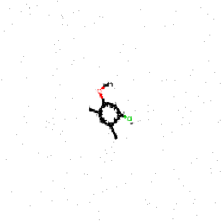 Cc1cc(C)c(OC(C)C)cc1Cl